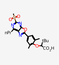 CCCc1nc(S(C)(=O)=O)nc2oc(-c3cc(C)c(OC(C(=O)O)C(C)(C)C)c(C)c3)nc12